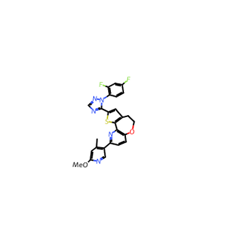 COc1cc(C)c(-c2ccc3c(n2)-c2sc(-c4ncnn4-c4ccc(F)cc4F)cc2CCO3)cn1